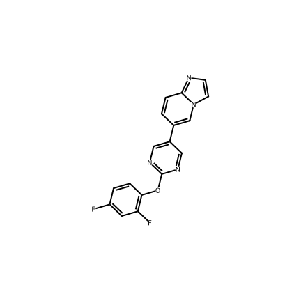 Fc1ccc(Oc2ncc(-c3ccc4nccn4c3)cn2)c(F)c1